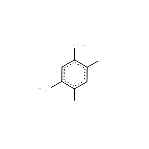 CCCCCCCc1cc(C=O)c(CCCCCCC)cc1Br